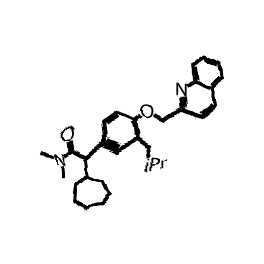 CC(C)Cc1cc(C(C(=O)N(C)C)C2CCCCCC2)ccc1OCc1ccc2ccccc2n1